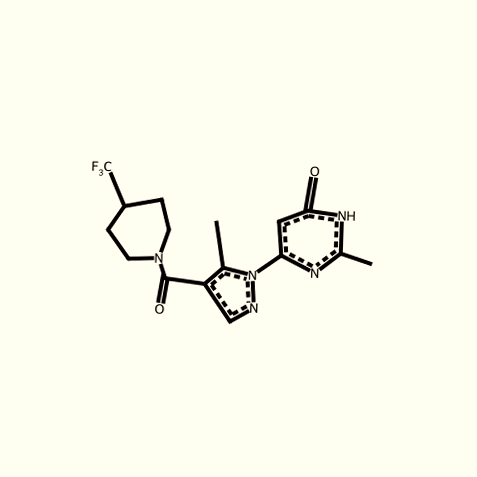 Cc1nc(-n2ncc(C(=O)N3CCC(C(F)(F)F)CC3)c2C)cc(=O)[nH]1